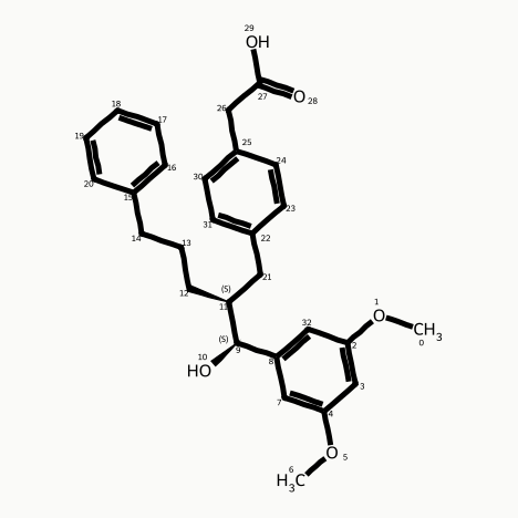 COc1cc(OC)cc([C@@H](O)[C@@H](CCCc2ccccc2)Cc2ccc(CC(=O)O)cc2)c1